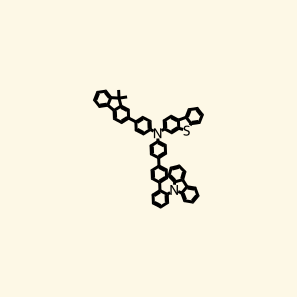 CC1(C)c2ccccc2-c2ccc(-c3ccc(N(c4ccc(-c5ccc(-c6ccccc6-n6c7ccccc7c7ccccc76)cc5)cc4)c4ccc5c(c4)sc4ccccc45)cc3)cc21